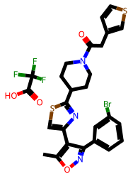 Cc1onc(-c2cccc(Br)c2)c1-c1csc(C2CCN(C(=O)Cc3ccsc3)CC2)n1.O=C(O)C(F)(F)F